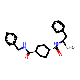 O=CC(Cc1ccccc1)NC(=O)[C@H]1CC[C@H](C(=O)NCc2ccccc2)CC1